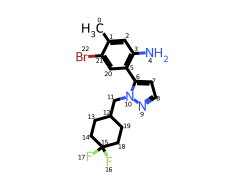 Cc1cc(N)c(-c2ccnn2CC2CCC(F)(F)CC2)cc1Br